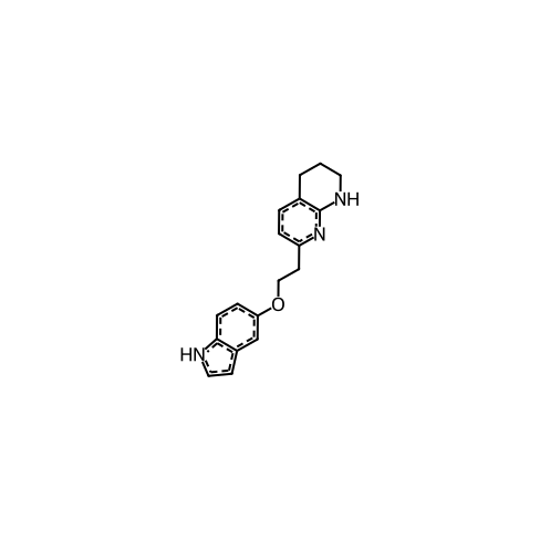 c1cc2cc(OCCc3ccc4c(n3)NCCC4)ccc2[nH]1